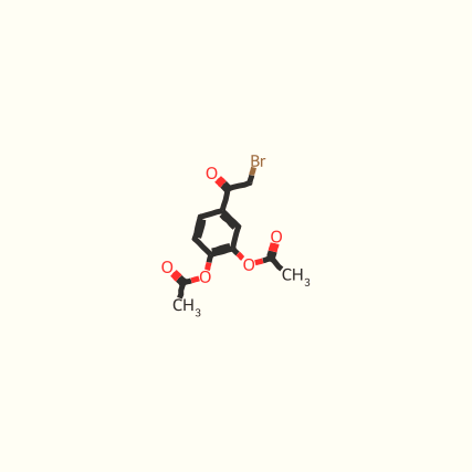 CC(=O)Oc1ccc(C(=O)CBr)cc1OC(C)=O